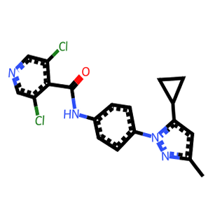 Cc1cc(C2CC2)n(-c2ccc(NC(=O)c3c(Cl)cncc3Cl)cc2)n1